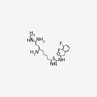 CN/C(N)=C/C=C(\N)CCCCc1nnc(NC(=O)Cc2cccc(F)c2F)s1